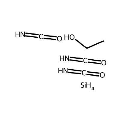 CCO.N=C=O.N=C=O.N=C=O.[SiH4]